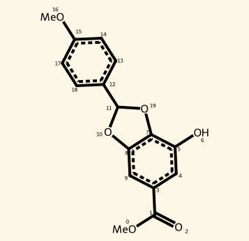 COC(=O)c1cc(O)c2c(c1)OC(c1ccc(OC)cc1)O2